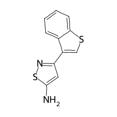 Nc1cc(-c2csc3ccccc23)ns1